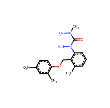 Cc1cc([N+](=O)[O-])ccc1OCc1c(C)cccc1N(N)C(=O)N(C)N